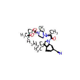 CC1CN([C@@H](C)C(=O)N2CC(C)(C)c3ccc(C#N)cc32)CCN1C(=O)OC(C)(C)C